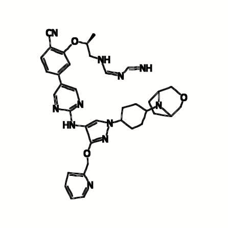 C[C@@H](CN/C=N\C=N)Oc1cc(-c2cnc(Nc3cn(C4CCC(N5C6CCC5COC6)CC4)nc3OCc3ccccn3)nc2)ccc1C#N